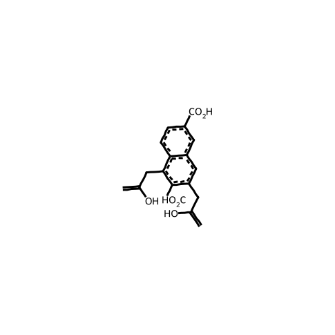 C=C(O)Cc1cc2cc(C(=O)O)ccc2c(CC(=C)O)c1C(=O)O